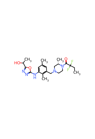 CCC(F)(F)C(=O)N1CCN(Cc2cc(C)cc(Nc3nnc(C(C)O)o3)c2C)C[C@@H]1C